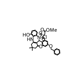 COC(=O)CS(=O)(=O)N1c2cccc(O)c2NC2=C(C(=O)CC(C)(C)C2)C1c1ccc(OCc2ccccc2)cc1Cl